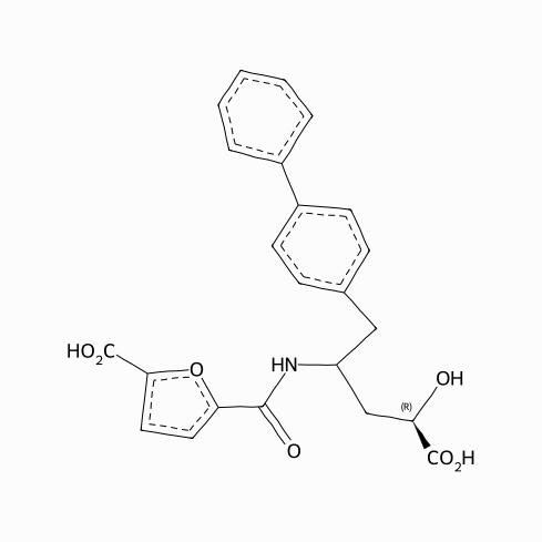 O=C(O)c1ccc(C(=O)NC(Cc2ccc(-c3ccccc3)cc2)C[C@@H](O)C(=O)O)o1